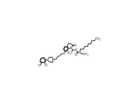 CCCCCCCCCN(CC)C(=O)OC(C)N1C(=O)CCc2ccc(OCCCCN3CCN(c4cccc(Cl)c4Cl)CC3)cc21